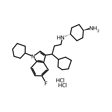 Cl.Cl.N[C@H]1CC[C@H](NCCC(c2cn(C3CCCCC3)c3ccc(F)cc23)C2CCCCC2)CC1